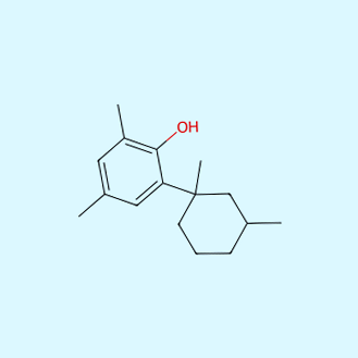 Cc1cc(C)c(O)c(C2(C)CCCC(C)C2)c1